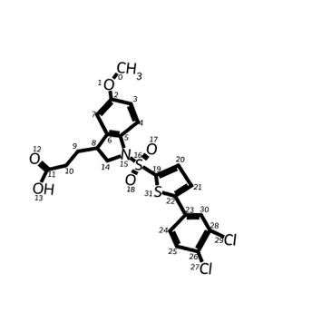 COc1ccc2c(c1)C(CCC(=O)O)CN2S(=O)(=O)c1ccc(-c2ccc(Cl)c(Cl)c2)s1